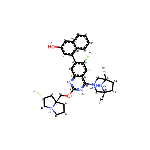 Oc1cc(-c2cc3nc(OC[C@@]45CCCN4C[C@H](F)C5)nc(N4C[C@H]5CC[C@@H](C4)N5)c3cc2F)c2ccccc2c1